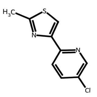 Cc1nc(-c2ccc(Cl)cn2)cs1